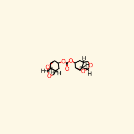 O=C(OC1C[C@@H]2CO[C@@H]3OC1C[C@H]23)OC1C[C@@H]2CO[C@@H]3OC1C[C@H]23